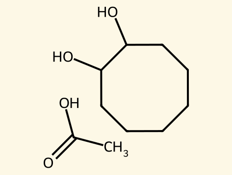 CC(=O)O.OC1CCCCCCC1O